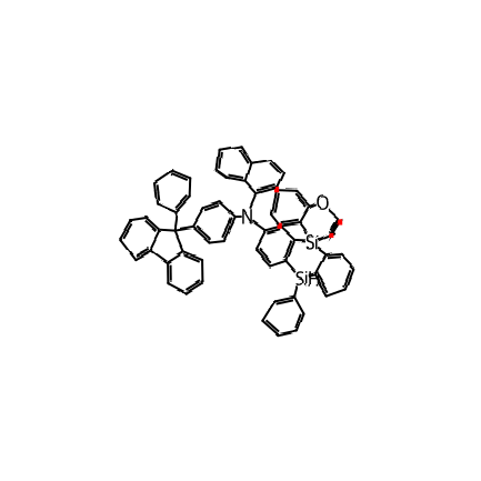 c1ccc([SiH]2c3ccccc3[Si]3(c4ccccc4Oc4ccccc43)c3cc(N(c4ccc(C5(c6ccccc6)c6ccccc6-c6ccccc65)cc4)c4cccc5ccccc45)ccc32)cc1